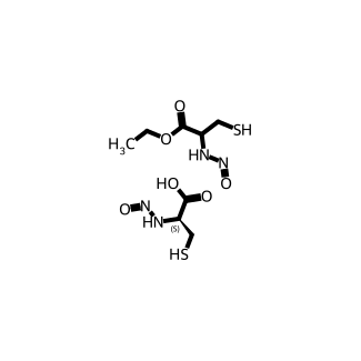 CCOC(=O)C(CS)NN=O.O=NN[C@H](CS)C(=O)O